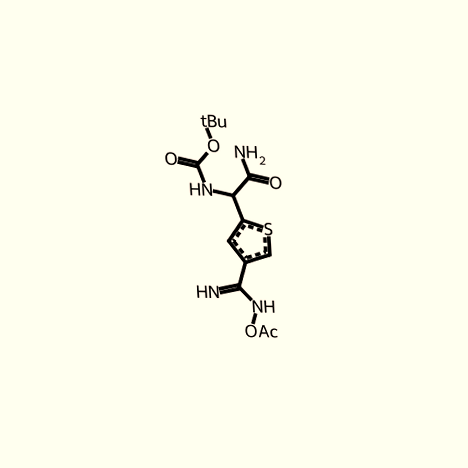 CC(=O)ONC(=N)c1csc(C(NC(=O)OC(C)(C)C)C(N)=O)c1